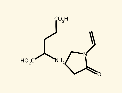 C=CN1CCCC1=O.NC(CCC(=O)O)C(=O)O